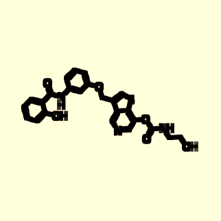 O=C(NCCO)Oc1cncc2c(COc3cccc(NC(=O)c4ccccc4O)c3)csc12